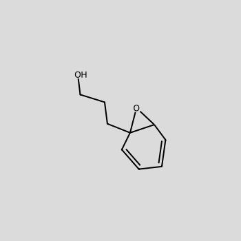 OCCCC12C=CC=CC1O2